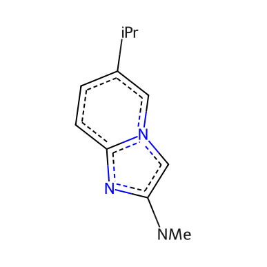 CNc1cn2cc(C(C)C)ccc2n1